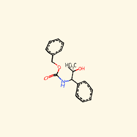 O=C(NC(c1ccccc1)C(O)C(=O)O)OCc1ccccc1